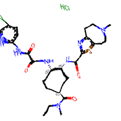 CCN(C)C(=O)[C@H]1CC[C@H](NC(=O)C(=O)Nc2ccc(Cl)cn2)[C@H](NC(=O)c2nc3c(s2)CN(C)CC3)C1.Cl